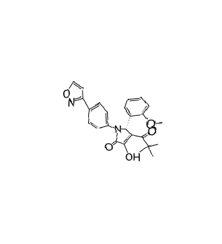 COc1ccccc1[C@@H]1C(C(=O)C(C)(C)C)=C(O)C(=O)N1c1ccc(-c2ccon2)cc1